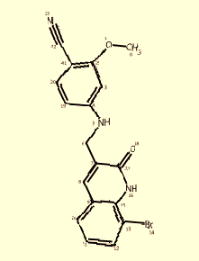 COc1cc(NCc2cc3cccc(Br)c3[nH]c2=O)ccc1C#N